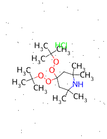 CC1(C)CC(OOC(C)(C)C)(OOC(C)(C)C)CC(C)(C)N1.Cl